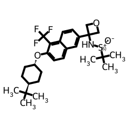 CC(C)(C)[S@@+]([O-])NC1(c2ccc3c(C(F)(F)F)c(O[C@H]4CC[C@H](C(C)(C)C)CC4)ccc3c2)COC1